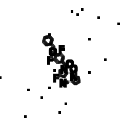 N#C[C@H]1CCCN1C(=O)[C@@H]1C[C@@H](F)CN1C(=O)c1cc(F)c(OCc2ccccc2)c(F)c1